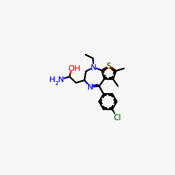 CCN1CC(CC(N)O)N=C(c2ccc(Cl)cc2)c2c1sc(C)c2C